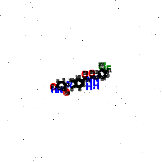 O=C1CCC(N2Cc3ccc(C(=O)NC(=O)Nc4ccc(F)c(Cl)c4)cc3C2)C(=O)N1